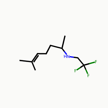 CC(C)=CCCC(C)NCC(F)(F)F